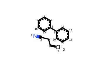 C=CCC#N.c1ccc(-c2ccccc2)cc1